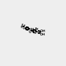 O=C(Nc1ccc(OC(F)(F)F)cc1)c1cnc(N2CC(O)C(O)C2)c(Br)c1